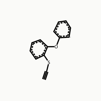 C#CSc1ccccc1Oc1[c]cccc1